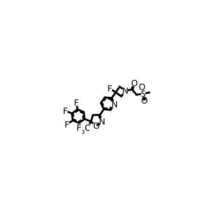 CS(=O)(=O)CC(=O)N1CC(F)(c2ccc(C3=NOC(c4cc(F)c(F)c(F)c4)(C(F)(F)F)C3)cn2)C1